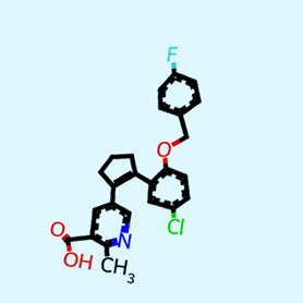 Cc1ncc(C2=C(c3cc(Cl)ccc3OCc3ccc(F)cc3)CCC2)cc1C(=O)O